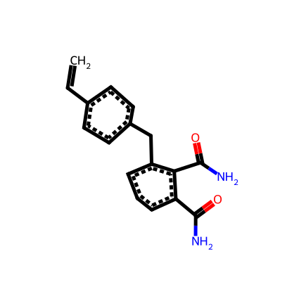 C=Cc1ccc(Cc2cccc(C(N)=O)c2C(N)=O)cc1